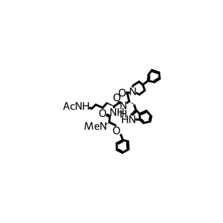 CN[C@@H](COCc1ccccc1)C(=O)N[C@@H](CCCCNC(C)=O)C(=O)N[C@@H](Cc1c[nH]c2ccccc12)C(=O)N1CCC(c2ccccc2)CC1